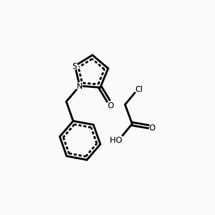 O=C(O)CCl.O=c1ccsn1Cc1ccccc1